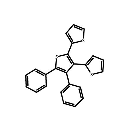 c1ccc(-c2sc(-c3cccs3)c(-c3cccs3)c2-c2ccccc2)cc1